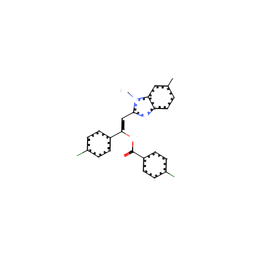 Cc1ccc2nc(/C=C(\OC(=O)c3ccc(Cl)cc3)c3ccc(Cl)cc3)n(C(C)C)c2c1